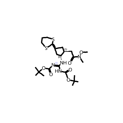 CON(C)C(=O)C[C@@H]1CC(=C2SCCCS2)C[C@H]1N/C(=N/C(=O)OC(C)(C)C)NC(=O)OC(C)(C)C